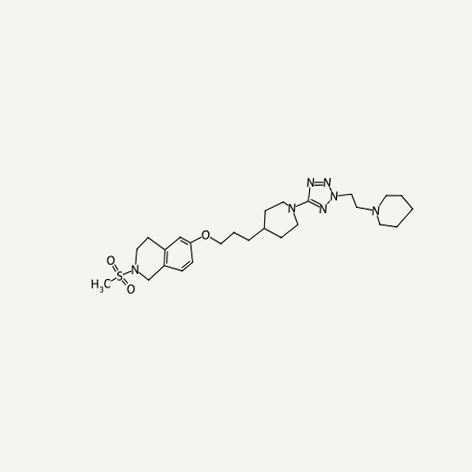 CS(=O)(=O)N1CCc2cc(OCCCC3CCN(c4nnn(CCN5CCCCC5)n4)CC3)ccc2C1